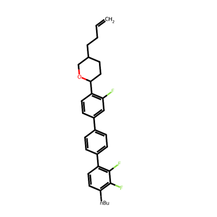 C=CCCC1CCC(c2ccc(-c3ccc(-c4ccc(CCCC)c(F)c4F)cc3)cc2F)OC1